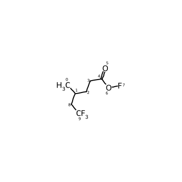 CC(CCC(=O)OF)CC(F)(F)F